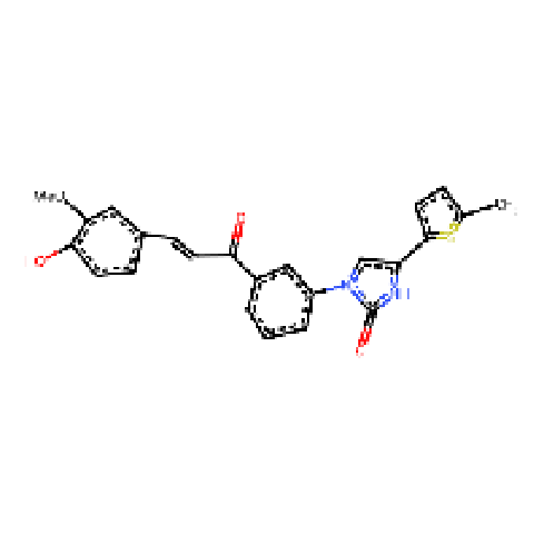 COc1cc(C=CC(=O)c2cccc(-n3cc(-c4ccc(C)s4)[nH]c3=O)c2)ccc1O